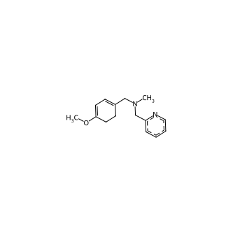 COC1=CC=C(CN(C)Cc2ccccn2)CC1